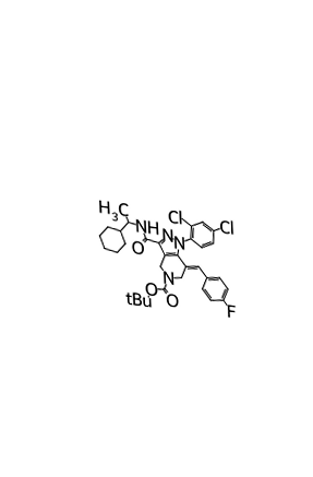 CC(NC(=O)c1nn(-c2ccc(Cl)cc2Cl)c2c1CN(C(=O)OC(C)(C)C)C/C2=C\c1ccc(F)cc1)C1CCCCC1